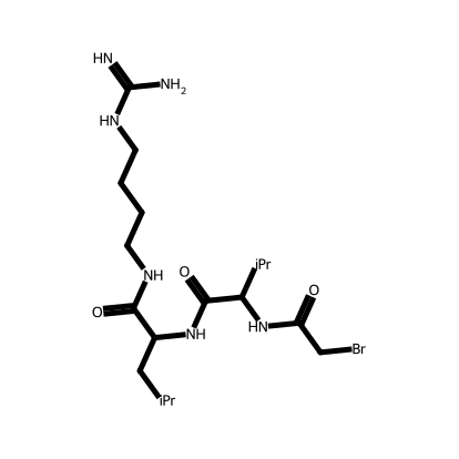 CC(C)CC(NC(=O)C(NC(=O)CBr)C(C)C)C(=O)NCCCCNC(=N)N